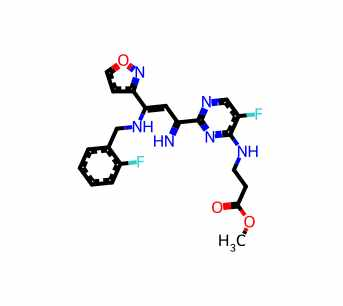 COC(=O)CCNc1nc(C(=N)/C=C(\NCc2ccccc2F)c2ccon2)ncc1F